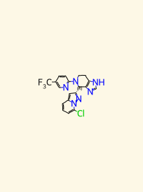 FC(F)(F)c1ccc(N2CCc3[nH]cnc3[C@@H]2c2cc3cccc(Cl)n3n2)nc1